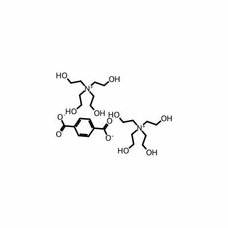 O=C([O-])c1ccc(C(=O)[O-])cc1.OCC[N+](CCO)(CCO)CCO.OCC[N+](CCO)(CCO)CCO